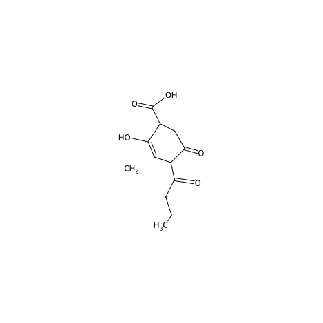 C.CCCC(=O)C1C=C(O)C(C(=O)O)CC1=O